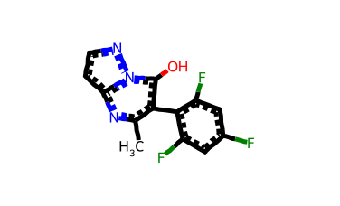 Cc1nc2ccnn2c(O)c1-c1c(F)cc(F)cc1F